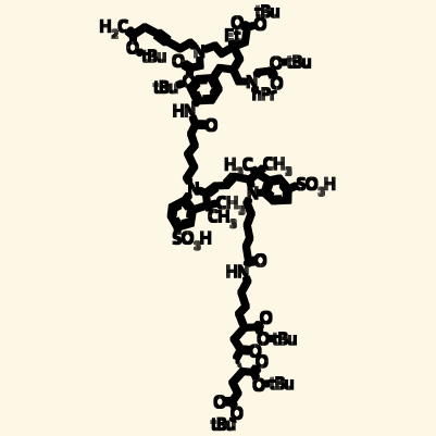 C=C(CC#CCCN(CCC(CC)(CC(=O)OC(C)(C)C)CC(Cc1ccc(NC(=O)CCCCCN2/C(=C/C=C/C3N(CCCCCC(=O)NCCCCC(CC(=O)C[C@@H](CCC(=O)OC(C)(C)C)C(=O)OC(C)(C)C)C(=O)OC(C)(C)C)c4ccc(S(=O)(=O)O)cc4C3(C)C)C(C)(C)c3cc(S(=O)(=O)O)ccc32)cc1)CN(CCC)CC(=O)OC(C)(C)C)CC(=O)OC(C)(C)C)OC(C)(C)C